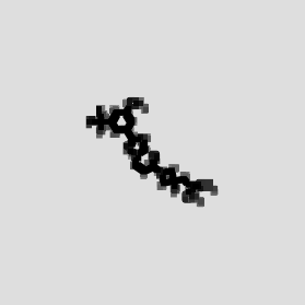 Cc1cc(-c2ncn(/C=C\C(=O)N3CC(F)(CN(C)C)C3)n2)cc(C(F)(F)F)c1